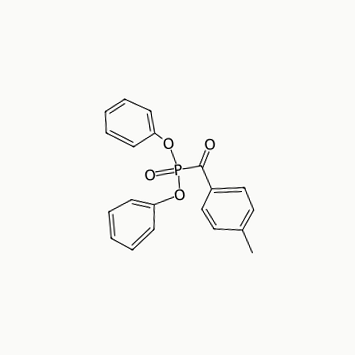 Cc1ccc(C(=O)P(=O)(Oc2ccccc2)Oc2ccccc2)cc1